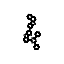 C1=CC2Oc3cc(-c4ccc5c(c4)oc4ccc6ccccc6c45)cnc3C2C(c2nc(-c3ccccc3)nc(-c3ccccc3)n2)=C1